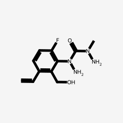 C=Cc1ccc(F)c(N(N)C(=O)N(C)N)c1CO